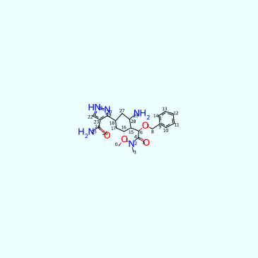 CON(C)C(=O)C(OCc1ccccc1)C1CCC(c2n[nH]cc2C(N)=O)CC1N